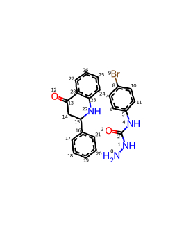 NNC(=O)Nc1ccc(Br)cc1.O=C1CC(c2ccccc2)Nc2ccccc21